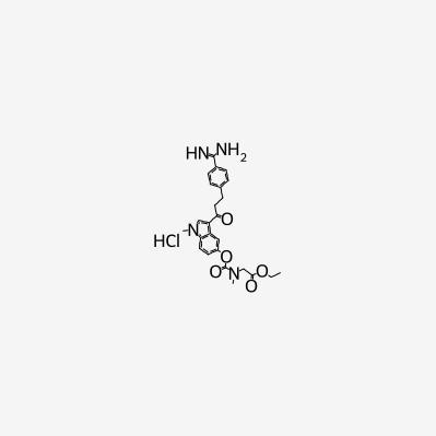 CCOC(=O)CN(C)C(=O)Oc1ccc2c(c1)c(C(=O)CCc1ccc(C(=N)N)cc1)cn2C.Cl